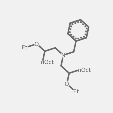 CCCCCCCCC(CN(Cc1ccccc1)CC(CCCCCCCC)OCC)OCC